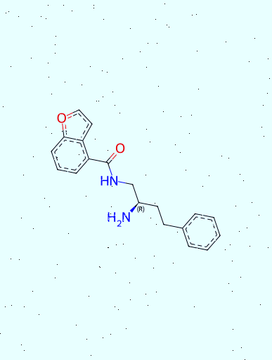 N[C@H](CCc1ccccc1)CNC(=O)c1cccc2occc12